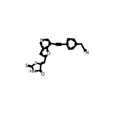 N#CCc1ccc(C#Cc2cncc3cc(/C=C4\SC(=S)NC4=O)oc23)cc1